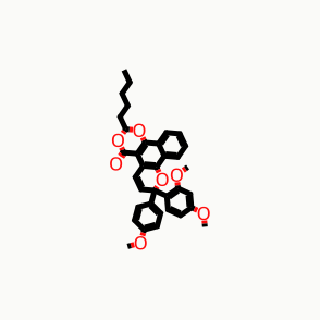 CCCCCC1OC(=O)c2c3c(c4ccccc4c2O1)OC(c1ccc(OC)cc1)(c1ccc(OC)cc1OC)C=C3